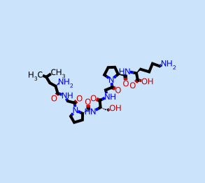 CC(C)C[C@H](N)C(=O)NCC(=O)N1CCC[C@H]1C(=O)N[C@@H](CO)C(=O)NCC(=O)N1CCC[C@H]1C(=O)N[C@@H](CCCCN)C(=O)O